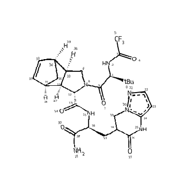 CC(C)(C)[C@H](NC(=O)C(F)(F)F)C(=O)N1C[C@H]2[C@@H]([C@H]1C(=O)N[C@@H](CC1Cn3nccc3NC1=O)C(N)=O)[C@H]1C=C[C@@H]2C1